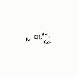 B.C.[Co].[Ni]